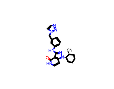 N#C[C@H]1CCCC[C@@H]1n1nc(Nc2cccc(Cn3ccnn3)c2)c2c(=O)[nH]ccc21